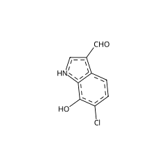 O=Cc1c[nH]c2c(O)c(Cl)ccc12